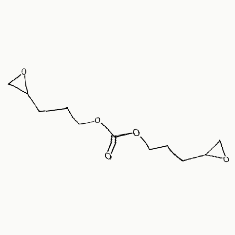 O=C(OCCCC1CO1)OCCCC1CO1